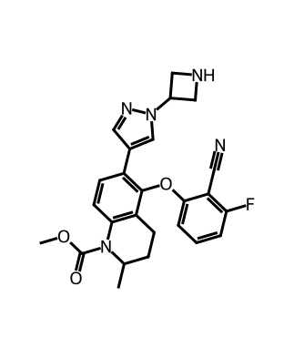 COC(=O)N1c2ccc(-c3cnn(C4CNC4)c3)c(Oc3cccc(F)c3C#N)c2CCC1C